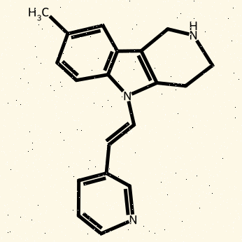 Cc1ccc2c(c1)c1c(n2C=Cc2cccnc2)CCNC1